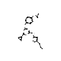 CCCc1cc(Nc2nc(Sc3ccc(NC(C)=O)cc3)nc(C3CC3)n2)n[nH]1